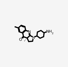 Cc1ccc2c(c1)C(=O)[C@]1(C)CCN(C3CCC(N)CC3)C1=N2